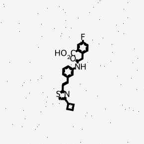 O=C(Cc1ccc(F)cc1C(=O)O)Nc1cccc(C=Cc2nc(C3CCC3)cs2)c1